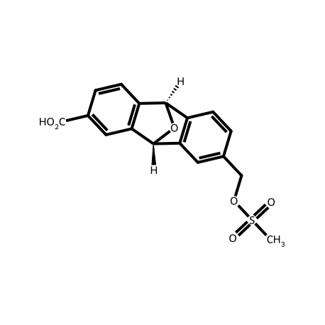 CS(=O)(=O)OCc1ccc2c(c1)[C@H]1O[C@H]2c2ccc(C(=O)O)cc21